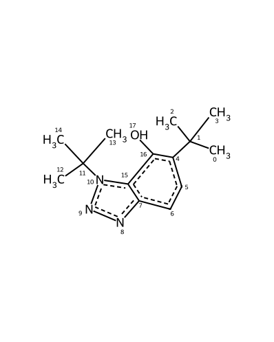 CC(C)(C)c1ccc2nnn(C(C)(C)C)c2c1O